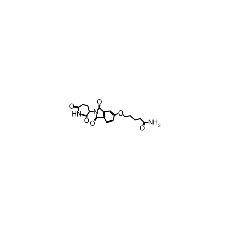 NC(=O)CCCCOc1ccc2c(c1)C(=O)N(C1CCC(=O)NC1=O)C2=O